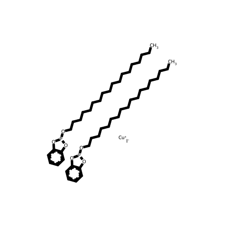 CCCCCCCCCCCCCCCCCCOP1Oc2ccccc2O1.CCCCCCCCCCCCCCCCCCOP1Oc2ccccc2O1.[Cu+].[I-]